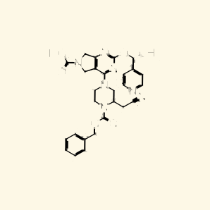 C[C@@H](Oc1nc2c(c(N3CCN(C(=O)OCc4ccccc4)C(CC#N)C3)n1)CN(C(=O)O)C2)c1ccncc1